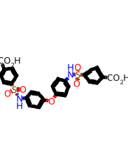 O=C(O)c1ccc(S(=O)(=O)Nc2ccc(Oc3ccc(NS(=O)(=O)c4ccc(C(=O)O)cc4)cc3)cc2)cc1